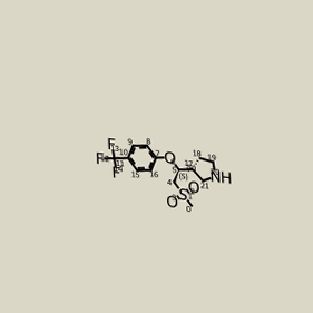 CS(=O)(=O)C[C@@H](Oc1ccc(C(F)(F)F)cc1)[C@@H]1CCNC1